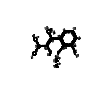 [K+].[K+].[O-]B([O-])C(F)=C(c1cccc(F)c1F)C(F)(F)F